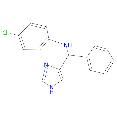 Clc1ccc(NC(c2ccccc2)c2c[nH]cn2)cc1